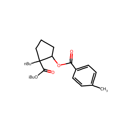 CCCCC1(C(=O)OCC(C)C)CCCC1OC(=O)c1ccc(C)cc1